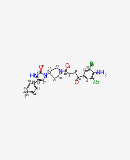 Nc1c(Br)cc(C(=O)CCC(=O)N2CCC(n3cc(-c4ccc(F)cc4)[nH]c3=O)CC2)cc1Br